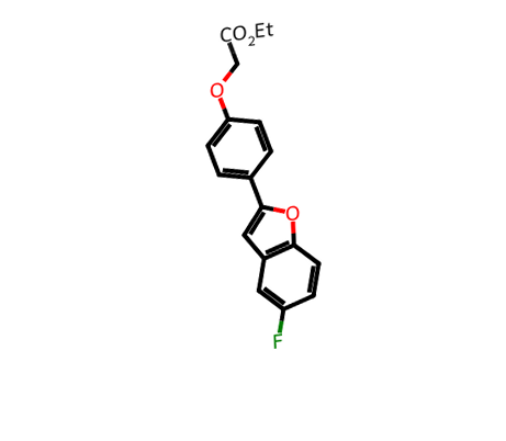 CCOC(=O)COc1ccc(-c2cc3cc(F)ccc3o2)cc1